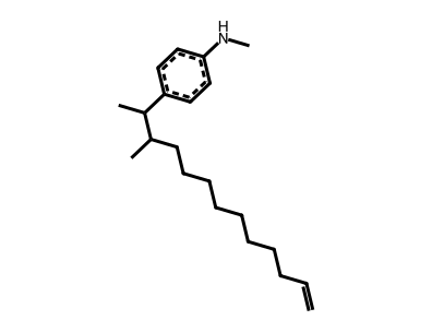 C=CCCCCCCCCC(C)C(C)c1ccc(NC)cc1